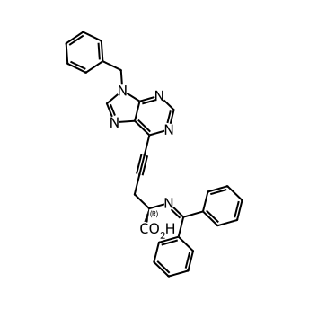 O=C(O)[C@@H](CC#Cc1ncnc2c1ncn2Cc1ccccc1)N=C(c1ccccc1)c1ccccc1